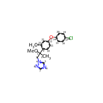 COC(C)(Cn1cncn1)c1ccc(Oc2ccc(Cl)cc2)cc1C